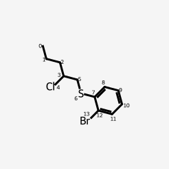 CCCC(Cl)CSc1ccccc1Br